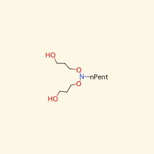 CCCCCN(OCCCO)OCCCO